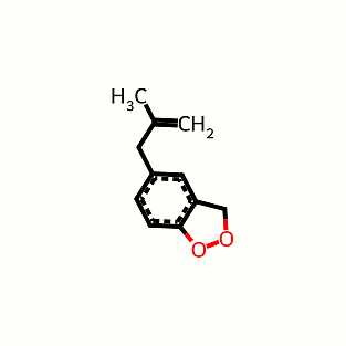 C=C(C)Cc1ccc2c(c1)COO2